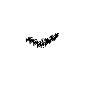 OCC(SC(F)(F)C(F)(F)C(F)(F)C(F)(F)C(F)(F)C(F)(F)C(F)(F)C(F)(F)C(F)(F)C(F)(F)F)C(CO)SC(F)(F)C(F)(F)C(F)(F)C(F)(F)C(F)(F)C(F)(F)C(F)(F)C(F)(F)C(F)(F)C(F)(F)F